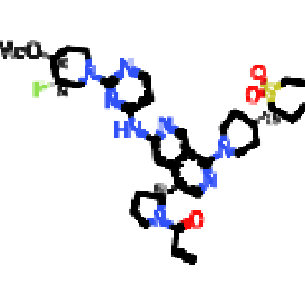 C=CC(=O)N1CCC[C@@H]1c1cnc(N2CCC([C@H]3CCCCS3(=O)=O)CC2)c2cnc(Nc3ccnc(N4CC[C@@H](OC)[C@@H](F)C4)n3)cc12